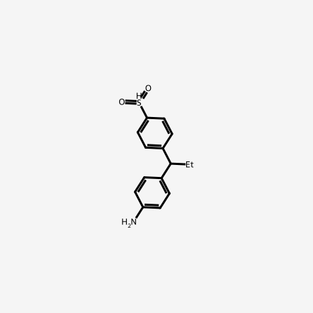 CCC(c1ccc(N)cc1)c1ccc([SH](=O)=O)cc1